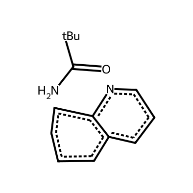 CC(C)(C)C(N)=O.c1ccc2ncccc2c1